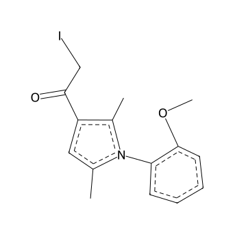 COc1ccccc1-n1c(C)cc(C(=O)CI)c1C